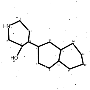 OC1CNCCC1C1CCC2CCCCC2C1